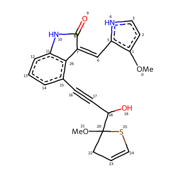 COc1cc[nH]c1C=C1C(=O)Nc2cccc(C#CC(O)C3(OC)CC=CS3)c21